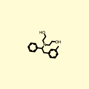 Cc1cccc(CC(c2ccccc2)N(CCO)CCO)c1